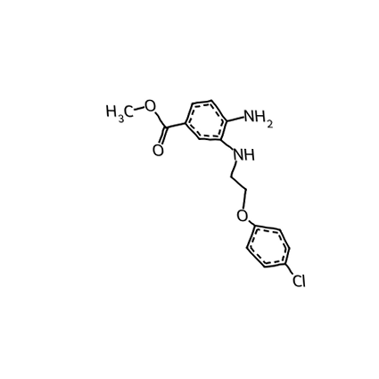 COC(=O)c1ccc(N)c(NCCOc2ccc(Cl)cc2)c1